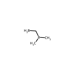 BCB(C)C